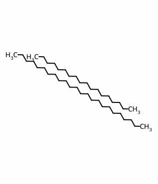 CCCCCCCCCCCCCCCCCC.CCCCCCCCCCCCCCCCCCCCCCCC